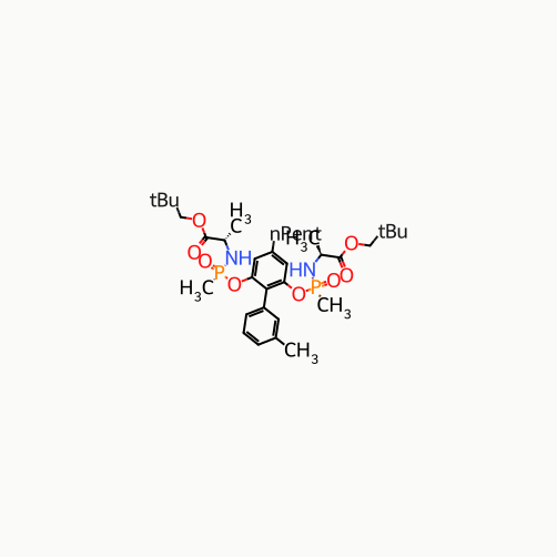 CCCCCc1cc(OP(C)(=O)N[C@@H](C)C(=O)OCC(C)(C)C)c(-c2cccc(C)c2)c(OP(C)(=O)N[C@@H](C)C(=O)OCC(C)(C)C)c1